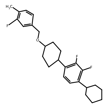 Cc1ccc(COC2CCC(c3ccc(C4CCCCC4)c(F)c3F)CC2)cc1F